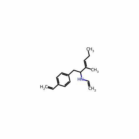 C=CNC(Cc1ccc(C=C)cc1)C(C)=CCC